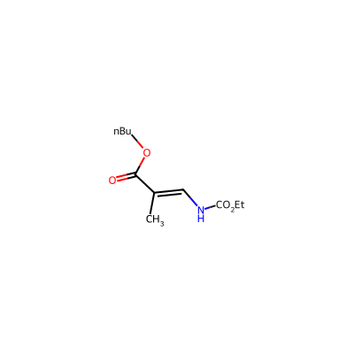 CCCCOC(=O)C(C)=CNC(=O)OCC